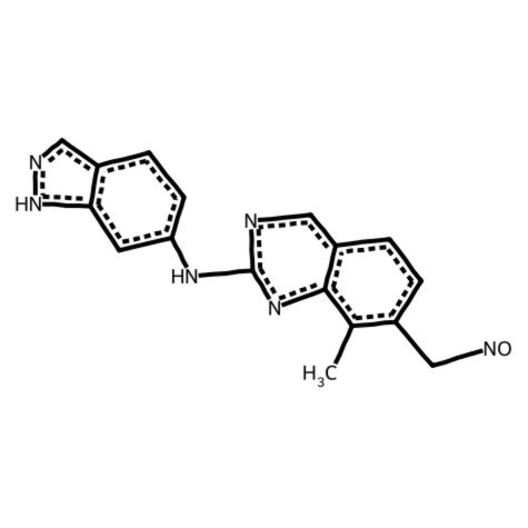 Cc1c(CN=O)ccc2cnc(Nc3ccc4cn[nH]c4c3)nc12